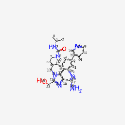 CC(C)NC(=O)N1CCC(Cn2c(CO)nc3c(N)nc4cc(-c5cccnc5)ccc4c32)CC1